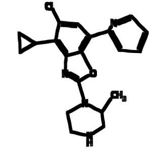 CC1CNCCN1c1nc2c(C3CC3)c(Cl)cc(-c3ccccn3)c2o1